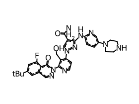 CC(C)(C)c1cc(F)c2c(=O)n(-c3nccc(-n4cc(C(N)=O)c(Nc5ccc(N6CCNCC6)cn5)n4)c3CO)ncc2c1